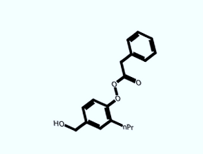 CCCc1cc(CO)ccc1OOC(=O)Cc1ccccc1